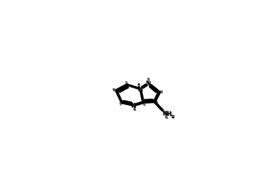 Nc1cnn2cccnc12